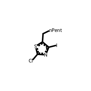 CCCCCCc1sc(Cl)nc1I